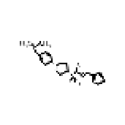 CN(C)Cc1ccc([C@H]2CC[C@@H](N(C)C(=S)SCc3ccccc3)CC2)cc1